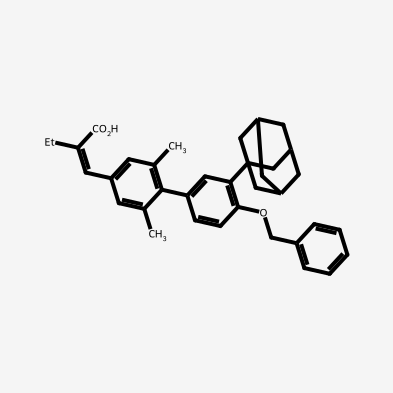 CCC(=Cc1cc(C)c(-c2ccc(OCc3ccccc3)c(C34CC5CC(CC(C5)C3)C4)c2)c(C)c1)C(=O)O